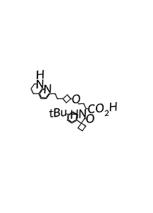 CC(C)(C)c1ccc(C2(C(=O)NC(CCOC3CC(CCc4ccc5c(n4)NCCC5)C3)C(=O)O)CCC2)cc1